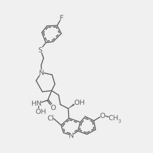 COc1ccc2ncc(Cl)c([C@H](O)CCC3(C(=O)NO)CCN(CCSc4ccc(F)cc4)CC3)c2c1